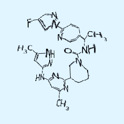 Cc1cc(Nc2cc(C)[nH]n2)nc(C2CCCN(C(=O)NC(C)c3ccc(-n4cc(F)cn4)nc3)C2)n1